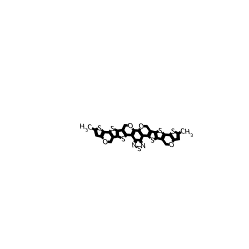 Cc1cc2c(s1)-c1sc3c4c(sc3c1CO2)-c1c(c2c(c3nsnc13)-c1sc3c5c(sc3c1CO2)-c1sc(C)cc1OC5)OC4